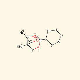 CC(C)(C)C12COC(C3CCCCC3)(OC1)OC2C#N